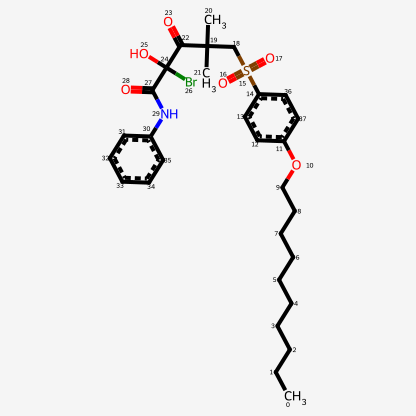 CCCCCCCCCCOc1ccc(S(=O)(=O)CC(C)(C)C(=O)C(O)(Br)C(=O)Nc2ccccc2)cc1